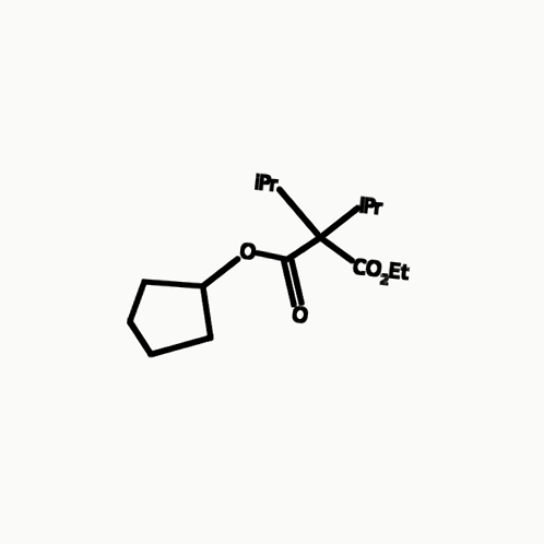 CCOC(=O)C(C(=O)OC1CCCC1)(C(C)C)C(C)C